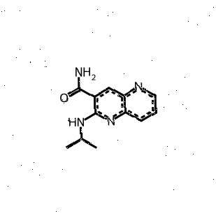 CC(C)Nc1nc2cccnc2cc1C(N)=O